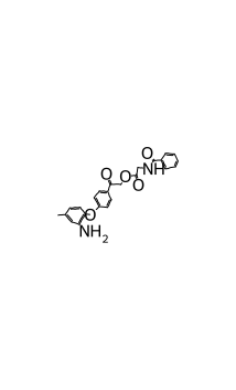 Cc1ccc(Oc2ccc(C(=O)COC(=O)CNC(=O)c3ccccc3)cc2)c(N)c1